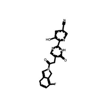 N#Cc1cnc(-c2ncc(CC(=O)N3C=C4CC=CC(F)=C4C3)c(=O)[nH]2)c(O)c1